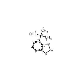 CC(C)(C=O)c1cccc2c1CCC2